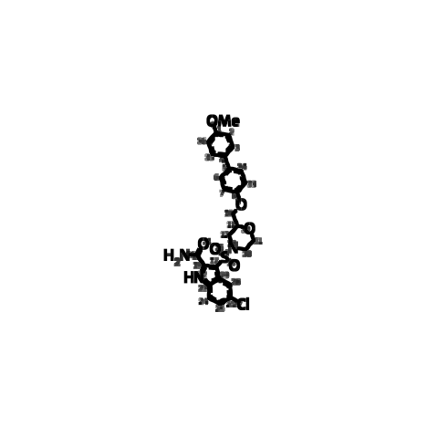 COc1ccc(-c2ccc(OCC3CN(S(=O)(=O)c4c(C(N)=O)[nH]c5ccc(Cl)cc45)CCO3)cc2)cc1